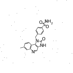 Cc1ccc2c(c1)ncc1[nH]c(=O)n(Cc3ccc(S(N)(=O)=O)cc3)c12